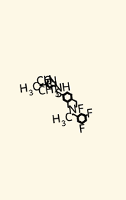 CC(c1cc(F)cc(F)c1F)N1CCc2ccc(SNc3cc(C(C)(C)C)on3)cc2C1